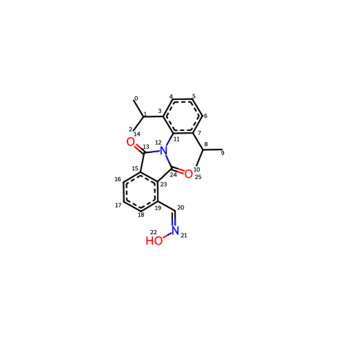 CC(C)c1cccc(C(C)C)c1N1C(=O)c2cccc(/C=N\O)c2C1=O